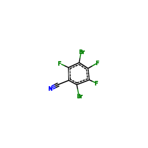 N#Cc1c(F)c(Br)c(F)c(F)c1Br